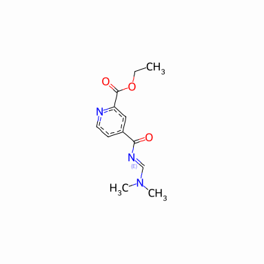 CCOC(=O)c1cc(C(=O)/N=C/N(C)C)ccn1